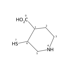 O=C(O)C1CCNCC1S